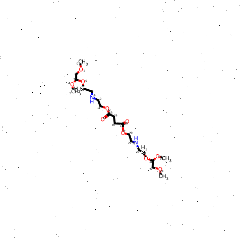 COCC(OC)O[SiH2]CNCCOC(=O)CCC(=O)OCCNC[SiH2]OC(COC)OC